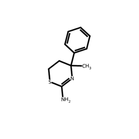 CC1(c2ccccc2)CCSC(N)=N1